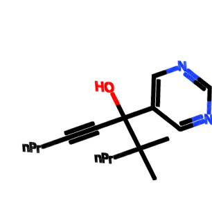 CCCC#CC(O)(c1cncnc1)C(C)(C)CCC